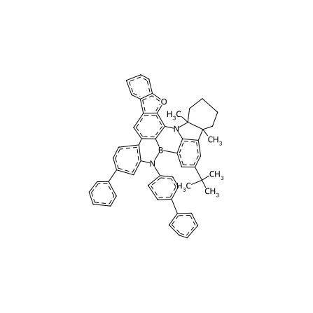 CC(C)(C)c1cc2c3c(c1)C1(C)CCCCC1(C)N3c1c3c(cc4c1oc1ccccc14)-c1ccc(-c4ccccc4)cc1N(c1ccc(-c4ccccc4)cc1)B23